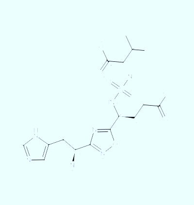 CC(O)[C@H](NS(=O)(=O)N[C@@H](CCC(=O)O)c1nc([C@@H](N)Cc2cnc[nH]2)no1)C(=O)O